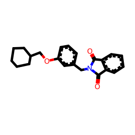 O=C1c2ccccc2C(=O)N1Cc1cccc(OCC2CCCCC2)c1